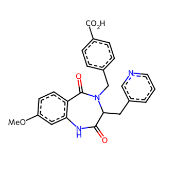 COc1ccc2c(c1)NC(=O)C(Cc1cccnc1)N(Cc1ccc(C(=O)O)cc1)C2=O